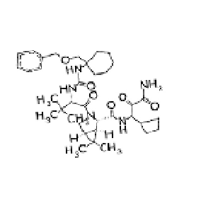 CC(C)(C)[C@H](NC(=O)NC1(COCc2ccccc2)CCCCC1)C(=O)N1C[C@H]2[C@@H]([C@H]1C(=O)NC(C(=O)C(N)=O)C1CCC1)C2(C)C